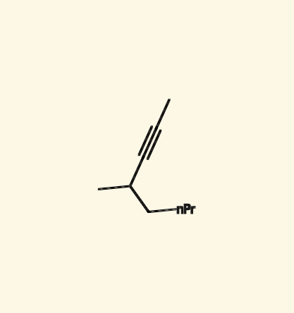 CC#CC(C)CCCC